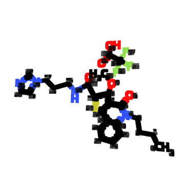 CCCCn1c(=O)c2c(OC)c(C(=O)NCCCn3ccnc3)sc2c2ccccc21.O=C(O)C(F)(F)F